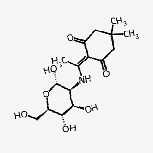 CC(N[C@H]1[C@@H](O)[C@H](O)[C@@H](CO)O[C@@H]1O)=C1C(=O)CC(C)(C)CC1=O